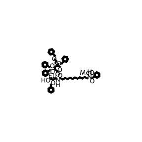 CC[C@@H](O)C(OCc1ccccc1)[C@H](CO[C@H]1OC[C@@](CCOCc2ccccc2)(OCc2ccccc2)C(OCc2ccccc2)C1OCc1ccccc1)NC(=O)CCCCCCCCCCCNC(=O)c1ccccc1OC